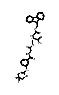 O=C(CNC(=O)c1cccc(NC2=NCC(F)(F)CN2)c1)NC[C@@H](NC(=O)OCC1c2ccccc2-c2ccccc21)C(=O)O